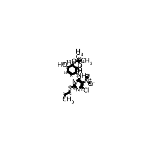 CCCSc1nc(Cl)c([N+](=O)[O-])c(N[C@@H]2C=C[C@H](O)[C@H]3OC(C)(C)O[C@H]32)n1